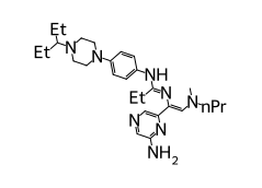 CCCN(C)/C=C(\N=C(/CC)Nc1ccc(N2CCN(C(CC)CC)CC2)cc1)c1cncc(N)n1